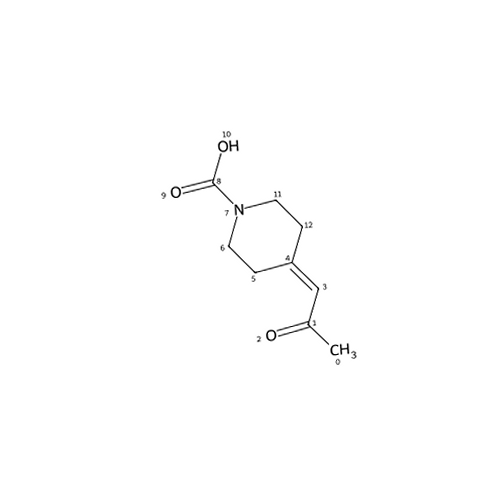 CC(=O)C=C1CCN(C(=O)O)CC1